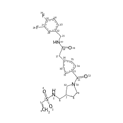 C=CS(=O)(=O)NCC1CCN(C(=O)c2ccc(CC(=O)NCc3ccc(F)c(F)c3)cc2)C1